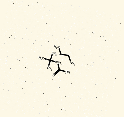 CC(C)(C)NC(=O)O.NCCN